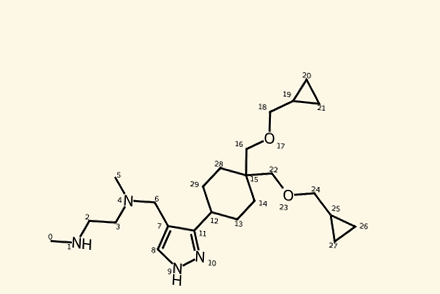 CNCCN(C)Cc1c[nH]nc1C1CCC(COCC2CC2)(COCC2CC2)CC1